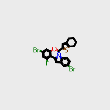 Fc1cc(Br)cc2c1-c1cc3cc(Br)ccc3n1C(c1cc3c(s1)CCCC3)O2